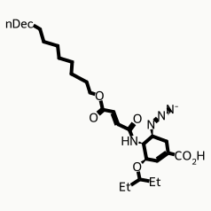 CCCCCCCCCCCCCCCCCCOC(=O)/C=C/C(=O)N[C@@H]1[C@@H](N=[N+]=[N-])CC(C(=O)O)=C[C@H]1OC(CC)CC